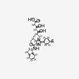 CC(C)c1c(C(=O)NC2CCc3ccccc32)nc(-c2ccc(F)cc2)n1CC[C@@H](O)C[C@@H](O)CC(=O)O